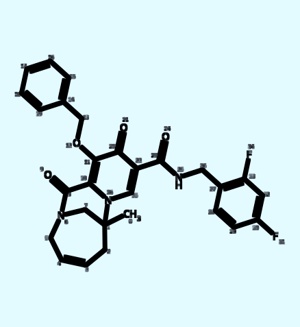 CC12CC=CCN(C1)C(=O)c1c(OCc3ccccc3)c(=O)c(C(=O)NCc3ccc(F)cc3F)cn12